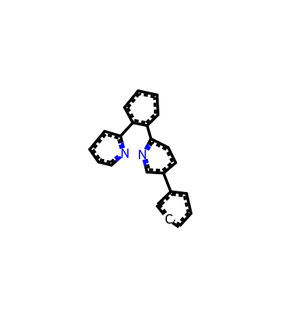 c1ccc(-c2ccc(-c3ccccc3-c3ccccn3)nc2)cc1